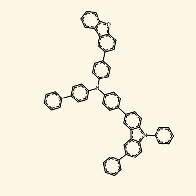 c1ccc(-c2ccc(N(c3ccc(-c4ccc5oc6ccccc6c5c4)cc3)c3ccc(-c4ccc5c(c4)c4cc(-c6ccccc6)ccc4n5-c4ccccc4)cc3)cc2)cc1